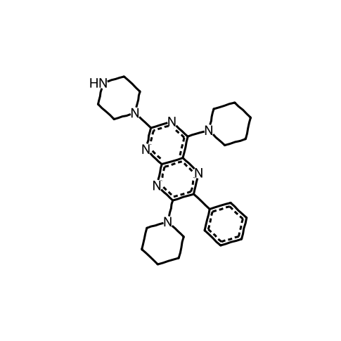 c1ccc(-c2nc3c(N4CCCCC4)nc(N4CCNCC4)nc3nc2N2CCCCC2)cc1